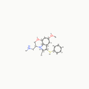 CNCC1COc2cc(OC)cc3c(Sc4ccccc4)c(C)n1c23